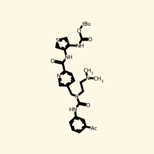 CC(=O)c1cccc(NC(=O)N(CCN(C)C)Cc2ccc(C(=O)Nc3cscc3NC(=O)OC(C)(C)C)nc2)c1